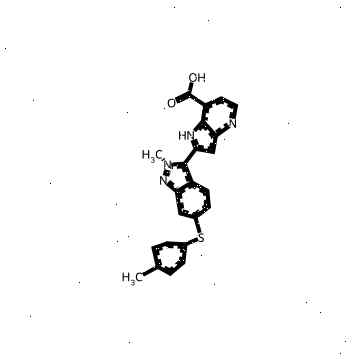 Cc1ccc(Sc2ccc3c(-c4cc5nccc(C(=O)O)c5[nH]4)n(C)nc3c2)cc1